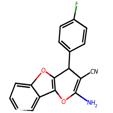 N#CC1=C(N)Oc2c(oc3ccccc23)C1c1ccc(F)cc1